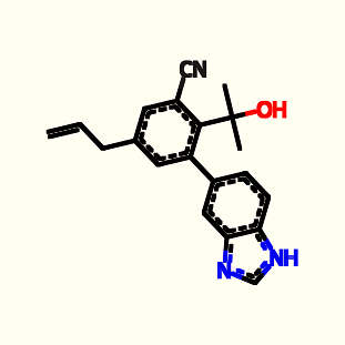 C=CCc1cc(C#N)c(C(C)(C)O)c(-c2ccc3[nH]cnc3c2)c1